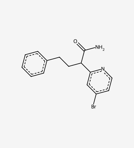 NC(=O)C(CCc1ccccc1)c1cc(Br)ccn1